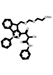 COCCOCOCC1c2ccccc2-c2c1c(C(=O)C(C#N)C(=O)Nc1ccccc1)nn2-c1ccccc1